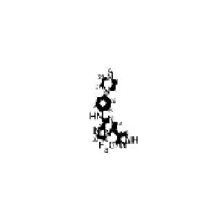 CN1CCN(c2ccc(Nc3ncc(-c4c[nH]nc4C(F)(F)F)n4ccnc34)cc2)CC1